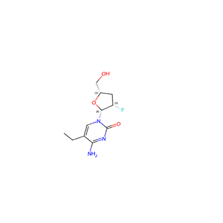 CCc1cn([C@@H]2O[C@H](CO)C[C@@H]2F)c(=O)nc1N